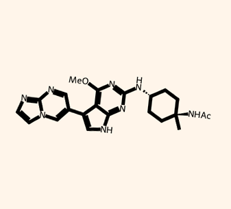 COc1nc(N[C@H]2CC[C@](C)(NC(C)=O)CC2)nc2[nH]cc(-c3cnc4nccn4c3)c12